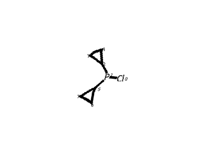 ClP(C1CC1)C1CC1